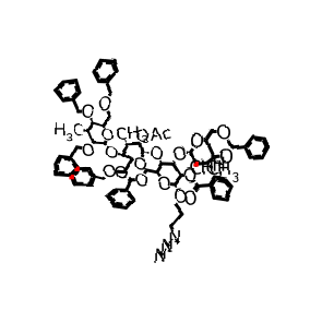 CC(=O)OC1[C@H](O[C@H]2C(COC(=O)c3ccccc3)O[C@@H](OCCCN=[N+]=[N-])C(OC(=O)c3ccccc3)[C@H]2O[C@@H]2OC3COC(c4ccccc4)O[C@H]3[C@H](C)C2C)OC(COCc2ccccc2)[C@@H](O[C@@H]2OC(COCc3ccccc3)[C@H](OCc3ccccc3)[C@H](C)C2OCc2ccccc2)[C@@H]1C